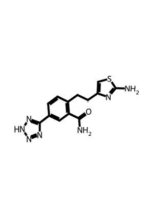 NC(=O)c1cc(-c2nn[nH]n2)ccc1C[CH]c1csc(N)n1